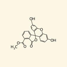 COC(=O)c1cccc2c1C(=O)OC21c2ccc(O)cc2Oc2cc(O)ccc21